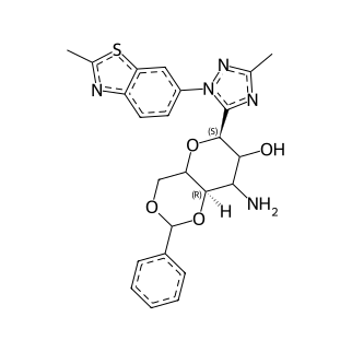 Cc1nc([C@@H]2OC3COC(c4ccccc4)O[C@@H]3C(N)C2O)n(-c2ccc3nc(C)sc3c2)n1